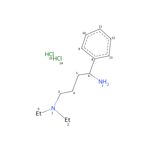 CCN(CC)CCCC(N)c1ccccc1.Cl.Cl